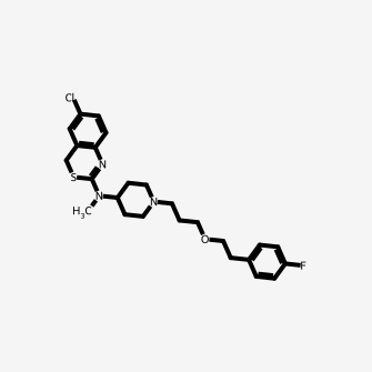 CN(C1=Nc2ccc(Cl)cc2CS1)C1CCN(CCCOCCc2ccc(F)cc2)CC1